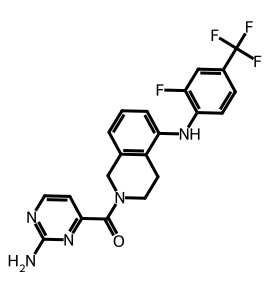 Nc1nccc(C(=O)N2CCc3c(cccc3Nc3ccc(C(F)(F)F)cc3F)C2)n1